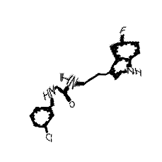 O=C(NCCc1c[nH]c2ccc(F)cc12)Nc1cccc(Cl)c1